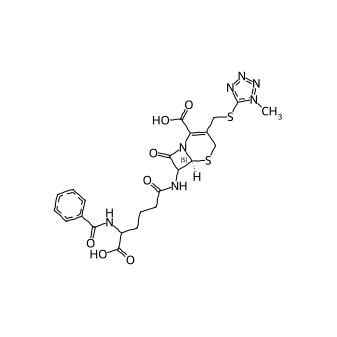 Cn1nnnc1SCC1=C(C(=O)O)N2C(=O)C(NC(=O)CCCC(NC(=O)c3ccccc3)C(=O)O)[C@@H]2SC1